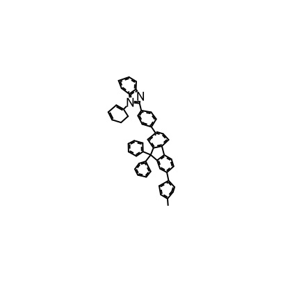 Cc1ccc(-c2ccc3c(c2)C(c2ccccc2)(c2ccccc2)c2cc(-c4ccc(-c5nc6ccccc6n5C5=CC=CCC5)cc4)ccc2-3)cc1